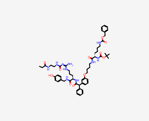 CCC(=O)NCCNC(=O)/N=C(/N)NCCC[C@@H](NC(=O)C(c1ccccc1)c1cccc(OCCCCNC(=O)[C@H](CCCCNC(=O)OCc2ccccc2)NC(=O)OC(C)(C)C)c1)C(=O)NCc1ccc(O)cc1